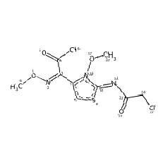 CON=C(C(=O)Cl)c1csc(=NC(=O)CCl)n1OC